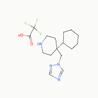 O=C(O)C(F)(F)F.c1ncn(CC2(C3CCCCC3)CCNCC2)n1